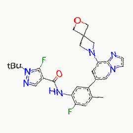 Cc1cc(F)c(NC(=O)c2cnn(C(C)(C)C)c2F)cc1-c1cc(N2CC3(COC3)C2)c2nccn2c1